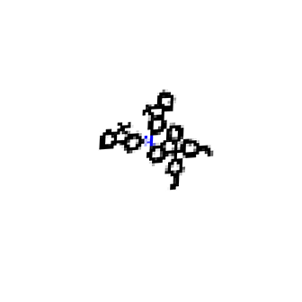 C=Cc1ccc(C2(c3ccc(C=C)cc3)c3ccccc3-c3c(N(c4ccc5c(c4)C(C)(C)c4ccccc4-5)c4ccc5c(c4)C(C)(C)c4ccccc4-5)cccc32)cc1